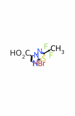 Br.CC(F)(F)c1nn2c(C(=O)O)cnc2s1